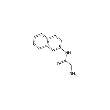 NCC(=O)Nc1ccc2ccccc2c1